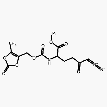 Cc1oc(=O)oc1COC(=O)NC(CCC(=O)C=[N+]=[N-])C(=O)OC(C)C